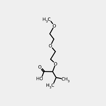 COCCOCCOC(C(=O)O)C(C)C